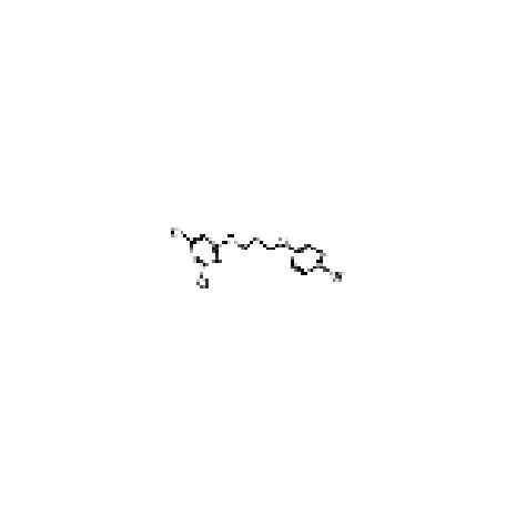 Clc1cc(Cl)cc(OCCCOc2ccc(Br)cc2)c1